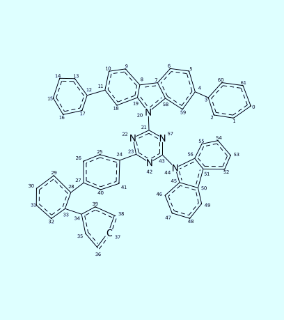 c1ccc(-c2ccc3c4ccc(-c5ccccc5)cc4n(-c4nc(-c5ccc(-c6ccccc6-c6ccccc6)cc5)nc(-n5c6ccccc6c6ccccc65)n4)c3c2)cc1